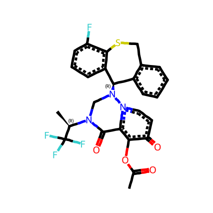 CC(=O)Oc1c2n(ccc1=O)N([C@@H]1c3ccccc3CSc3c(F)cccc31)CN([C@H](C)C(F)(F)F)C2=O